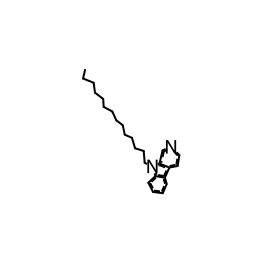 CCCCCCCCCCCCCCn1c2ccccc2c2ccncc21